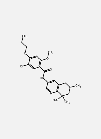 CCCOc1cc(OC)c(C(=O)Nc2cnc3c(c2)CN(C)CC3(C)C)cc1Cl